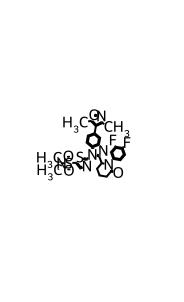 Cc1noc(C)c1-c1ccc2c(c1)nc(C1CCCC(=O)N1c1ccc(F)c(F)c1)n2-c1ncc(S(=O)(=O)N(C)C)s1